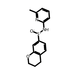 Cc1cccc(N[S+]([O-])c2ccc3c(c2)OCCC3)n1